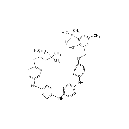 Cc1cc(CNc2ccc(Nc3ccc(Nc4ccc(Nc5ccc(CC(C)CC(C)(C)C)cc5)cc4)cc3)cc2)c(O)c(C(C)(C)C)c1